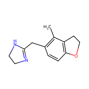 Cc1c(CC2=NCCN2)ccc2c1CCO2